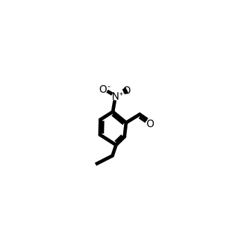 CCc1ccc([N+](=O)[O-])c(C=O)c1